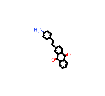 Nc1ccc(/C=C/c2ccc3c(c2)C(=O)c2ccccc2C3=O)cc1